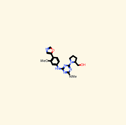 CNc1nc(Nc2ccc(-c3cnco3)c(OC)c2)nc(N2CCCC2CO)n1